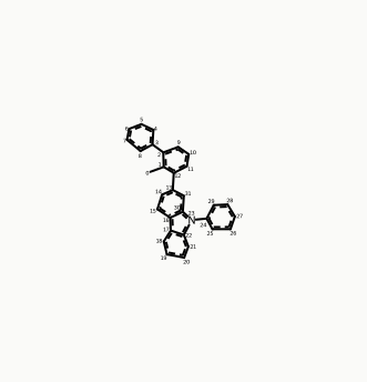 Cc1c(-c2ccccc2)cccc1-c1ccc2c3ccccc3n(-c3ccccc3)c2c1